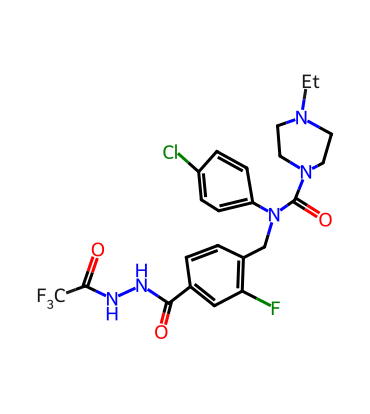 CCN1CCN(C(=O)N(Cc2ccc(C(=O)NNC(=O)C(F)(F)F)cc2F)c2ccc(Cl)cc2)CC1